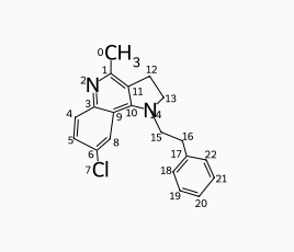 Cc1nc2ccc(Cl)cc2c2c1CCN2CCc1ccccc1